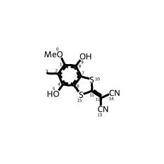 COc1c(C)c(O)c2c(c1O)SC(=C(C#N)C#N)S2